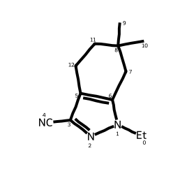 CCn1nc(C#N)c2c1CC(C)(C)CC2